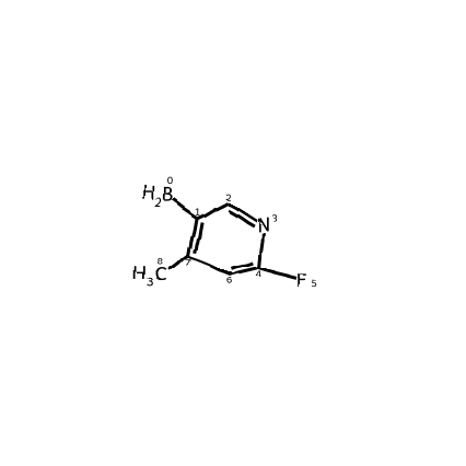 Bc1cnc(F)cc1C